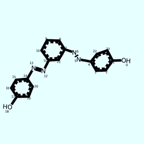 Oc1ccc(N=Nc2cccc(N=Nc3ccc(O)cc3)c2)cc1